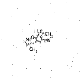 Cc1ccnc(Oc2ccc(C#N)c(C(C)C)c2)c1